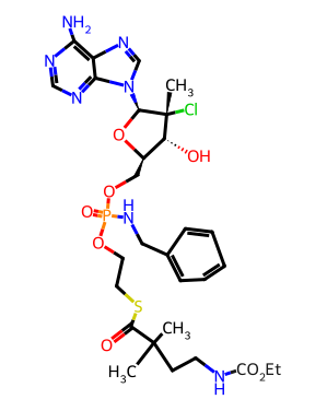 CCOC(=O)NCCC(C)(C)C(=O)SCCOP(=O)(NCc1ccccc1)OC[C@H]1O[C@@H](n2cnc3c(N)ncnc32)[C@](C)(Cl)[C@@H]1O